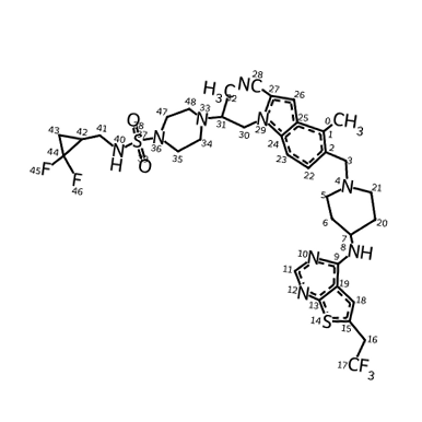 Cc1c(CN2CCC(Nc3ncnc4sc(CC(F)(F)F)cc34)CC2)ccc2c1cc(C#N)n2CC(C)N1CCN(S(=O)(=O)NCC2CC2(F)F)CC1